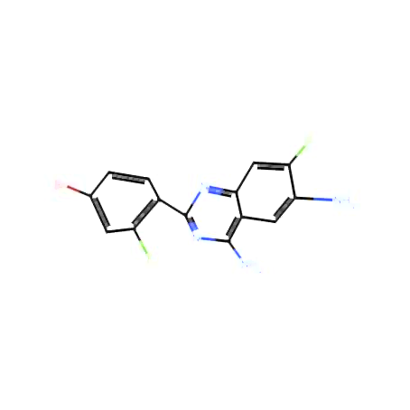 Nc1cc2c(N)nc(-c3ccc(Br)cc3F)nc2cc1F